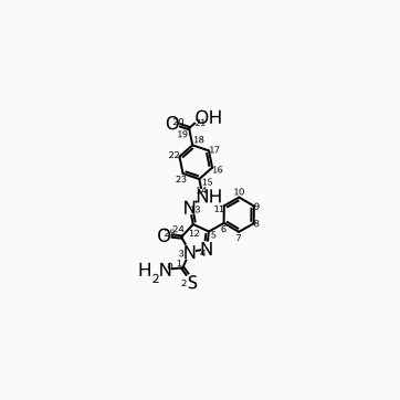 NC(=S)N1N=C(c2ccccc2)/C(=N\Nc2ccc(C(=O)O)cc2)C1=O